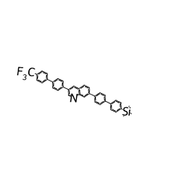 C[Si](C)(C)c1ccc(-c2ccc(-c3ccc4cc(-c5ccc(-c6ccc(C(F)(F)F)cc6)cc5)cnc4c3)cc2)cc1